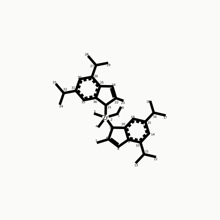 C[CH2][Zr]([CH3])([CH3])([CH]1C(C)=Cc2c(C(C)C)cc(C(C)C)cc21)[CH]1C(C)=Cc2c(C(C)C)cc(C(C)C)cc21